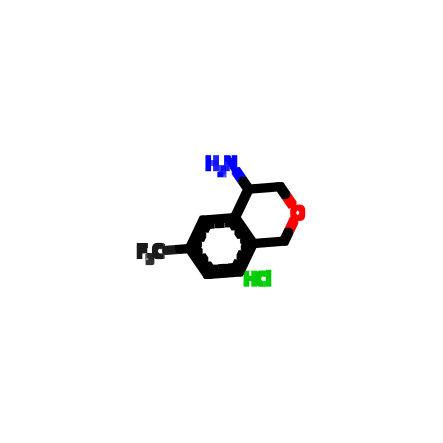 Cl.NC1COCc2ccc(C(F)(F)F)cc21